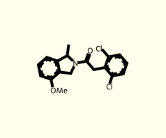 COc1cccc2c1CN(C(=O)Cc1c(Cl)cccc1Cl)C2C